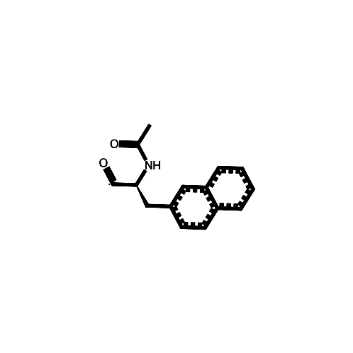 CC(=O)N[C@H]([C]=O)Cc1ccc2ccccc2c1